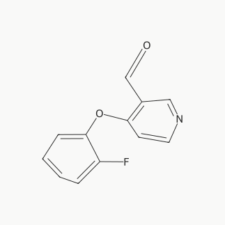 O=Cc1cnccc1Oc1ccccc1F